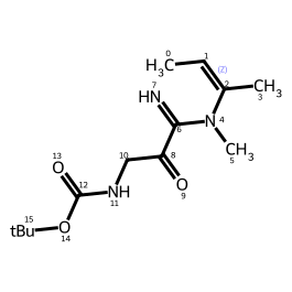 C/C=C(/C)N(C)C(=N)C(=O)CNC(=O)OC(C)(C)C